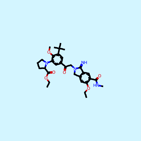 CCOC(=O)C1CCCN1c1cc(C(=O)CN2Cc3cc(OCC)c(C(=O)NC)cc3C2=N)cc(C(C)(C)C)c1OC